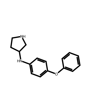 c1ccc(Oc2ccc(NC3CCNC3)cc2)cc1